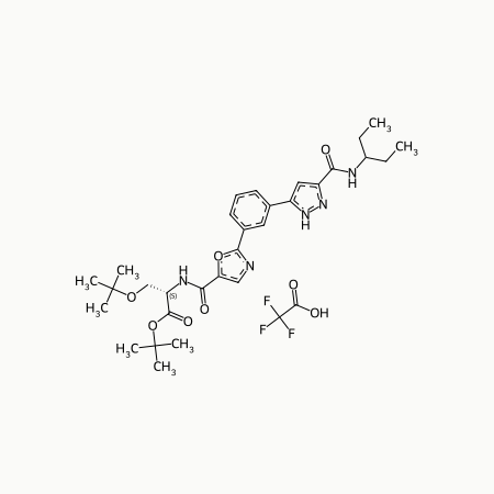 CCC(CC)NC(=O)c1cc(-c2cccc(-c3ncc(C(=O)N[C@@H](COC(C)(C)C)C(=O)OC(C)(C)C)o3)c2)[nH]n1.O=C(O)C(F)(F)F